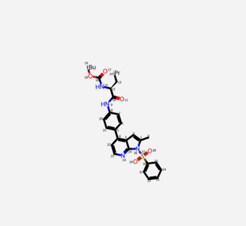 Cc1cc2c(-c3ccc(NC(=O)[C@H](CC(C)C)NC(=O)OC(C)(C)C)cc3)ccnc2n1S(=O)(=O)c1ccccc1